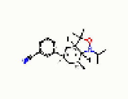 CC(C)N1OC(C)(C)[C@@H]2C[C@](C)(c3cccc(C#N)c3)C[C@H](C)[C@H]21